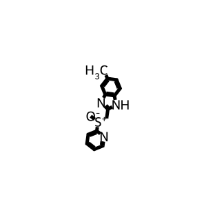 Cc1ccc2[nH]c(C[S+]([O-])c3ccccn3)nc2c1